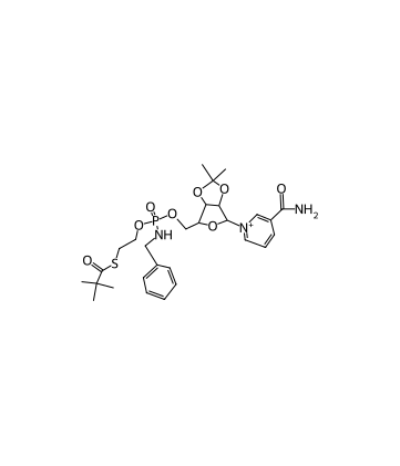 CC1(C)OC2C(COP(=O)(NCc3ccccc3)OCCSC(=O)C(C)(C)C)OC([n+]3cccc(C(N)=O)c3)C2O1